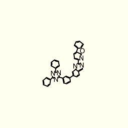 c1ccc(-c2nc(-c3ccccc3)nc(-c3cccc(-c4ccc5cnc(-c6ccc7c(n6)oc6ccccc67)nc5c4)c3)n2)cc1